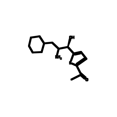 CC(=O)c1ccc([C@H](O)C(N)CC2CCCCC2)s1